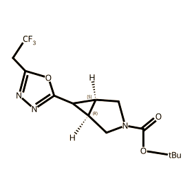 CC(C)(C)OC(=O)N1C[C@@H]2C(c3nnc(CC(F)(F)F)o3)[C@@H]2C1